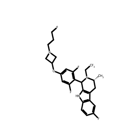 C[C@@H]1Cc2c([nH]c3ccc(F)cc23)C(c2c(F)cc(OC3CN(CCCF)C3)cc2F)N1CC(F)(F)F